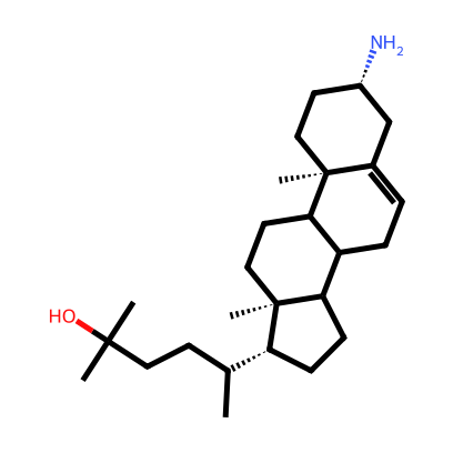 CC(CCC(C)(C)O)[C@H]1CCC2C3CC=C4C[C@@H](N)CC[C@]4(C)C3CC[C@@]21C